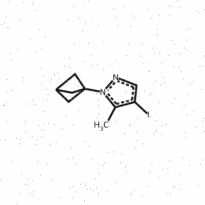 Cc1c(I)cnn1C12CC(C1)C2